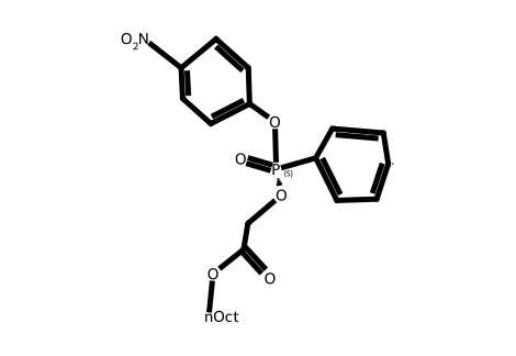 CCCCCCCCOC(=O)CO[P@](=O)(Oc1ccc([N+](=O)[O-])cc1)c1cc[c]cc1